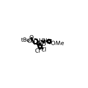 COc1ccc(NC(=O)Cn2c3c(c4cc(Cl)c(Cl)cc42)CCN(C(=O)OC(C)(C)C)CC3)cc1